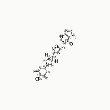 Cn1cnc2ncn(Cc3nc(C4[C@H]5CN(c6cc(F)c(Cl)c(F)c6)C[C@@H]45)no3)c(=O)c21